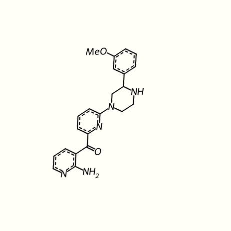 COc1cccc(C2CN(c3cccc(C(=O)c4cccnc4N)n3)CCN2)c1